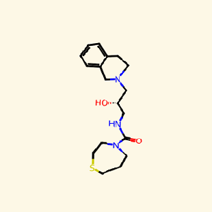 O=C(NC[C@H](O)CN1CCc2ccccc2C1)N1CCCSCC1